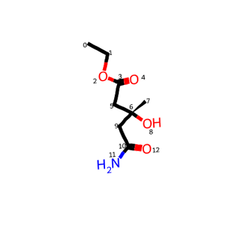 CCOC(=O)C[C@](C)(O)CC(N)=O